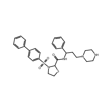 O=C(NC(CCN1CCNCC1)c1ccccc1)C1SCCN1S(=O)(=O)c1ccc(-c2ccccc2)cc1